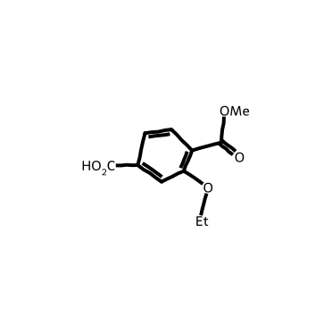 CCOc1cc(C(=O)O)ccc1C(=O)OC